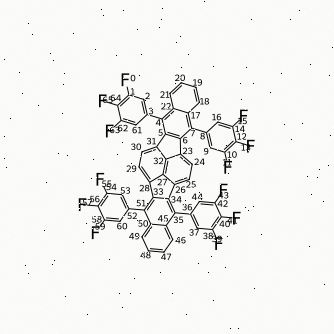 Fc1cc(-c2c3c(c(-c4cc(F)c(F)c(F)c4)c4ccccc24)-c2ccc4c5c(ccc-3c25)-c2c-4c(-c3cc(F)c(F)c(F)c3)c3ccccc3c2-c2cc(F)c(F)c(F)c2)cc(F)c1F